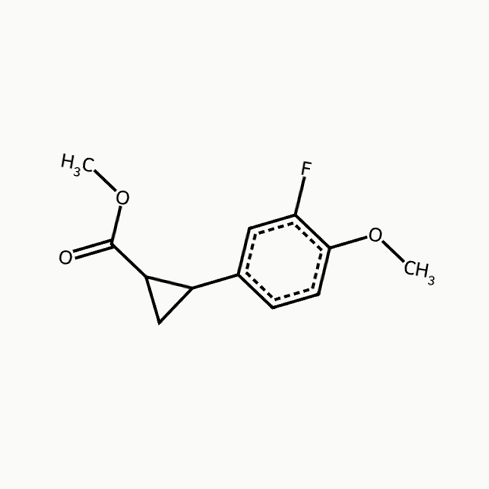 COC(=O)C1CC1c1ccc(OC)c(F)c1